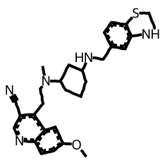 COc1ccc2ncc(C#N)c(CCN(C)C3CCCC(NCc4ccc5c(c4)NCCS5)C3)c2c1